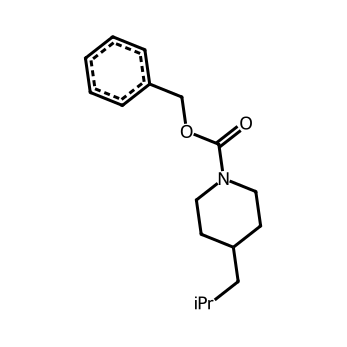 CC(C)CC1CCN(C(=O)OCc2ccccc2)CC1